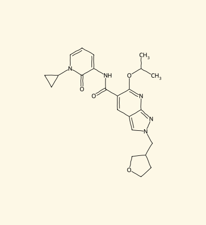 CC(C)Oc1nc2nn(CC3CCOC3)cc2cc1C(=O)Nc1cccn(C2CC2)c1=O